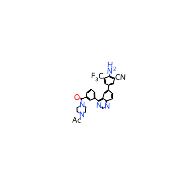 CC(=O)N1CCN(C(=O)c2cccc(-c3ncnc4ccc(-c5cc(C#N)c(N)c(C(F)(F)F)c5)cc34)c2)CC1